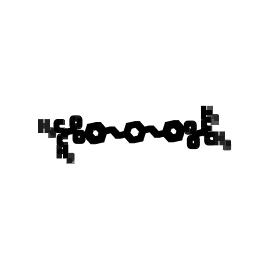 C=C(C)C(=O)Oc1ccc(CCC2CCC(CCc3ccc(OC(=O)C(=C)C)cc3)CC2)cc1